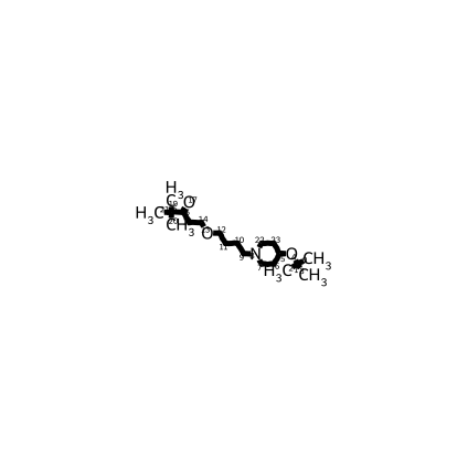 CC(C)(C)OC1CCN(CCCCOCCC(=O)C(C)(C)C)CC1